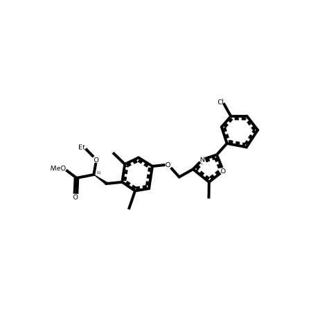 CCO[C@@H](Cc1c(C)cc(OCc2nc(-c3cccc(Cl)c3)oc2C)cc1C)C(=O)OC